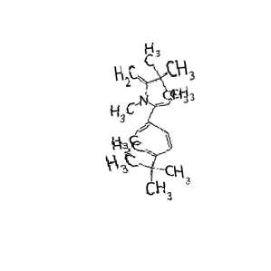 C=C(\C=C/C(=C\C)C(=C/C)/N(C)C(=C)C(C)(C)C)C(C)(C)C